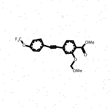 COCOc1cc(C#Cc2ccc(OC(F)(F)F)cc2)ccc1C(=O)OC